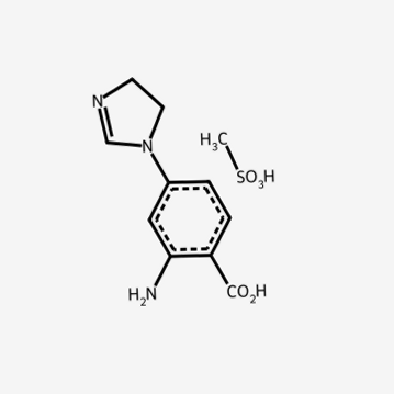 CS(=O)(=O)O.Nc1cc(N2C=NCC2)ccc1C(=O)O